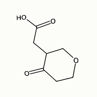 O=C(O)CC1COCCC1=O